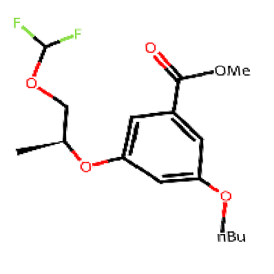 CCCCOc1cc(O[C@@H](C)COC(F)F)cc(C(=O)OC)c1